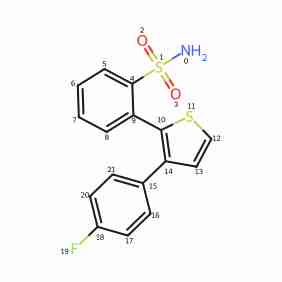 NS(=O)(=O)c1ccccc1-c1sccc1-c1ccc(F)cc1